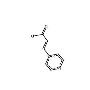 O=C(Cl)C=Cc1ccncc1